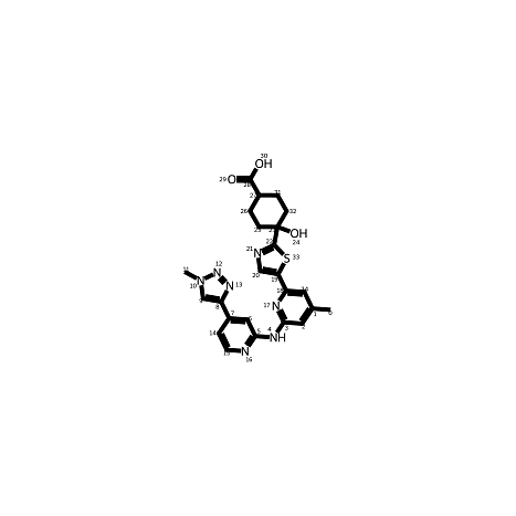 Cc1cc(Nc2cc(-c3cn(C)nn3)ccn2)nc(-c2cnc(C3(O)CCC(C(=O)O)CC3)s2)c1